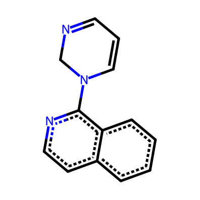 C1=CN(c2nccc3ccccc23)CN=C1